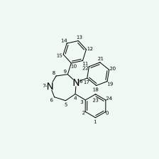 c1ccc(C2CC[N]CC(c3ccccc3)N2c2ccccc2)cc1